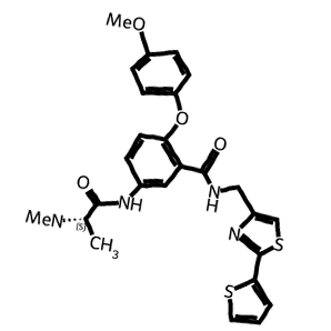 CN[C@@H](C)C(=O)Nc1ccc(Oc2ccc(OC)cc2)c(C(=O)NCc2csc(-c3cccs3)n2)c1